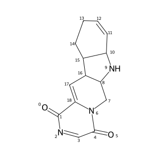 O=C1N=CC(=O)N2CC3NC4C=CCCC4C3C=C12